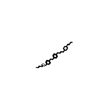 CC=CCOCc1ccc(CCc2ccc(CCCCC3CCC(C=CCC)CC3)cc2)cc1